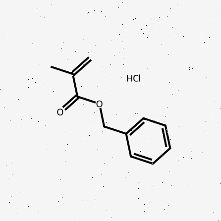 C=C(C)C(=O)OCc1ccccc1.Cl